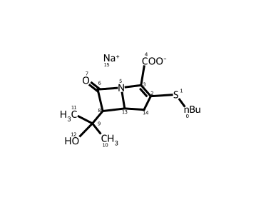 CCCCSC1=C(C(=O)[O-])N2C(=O)C(C(C)(C)O)C2C1.[Na+]